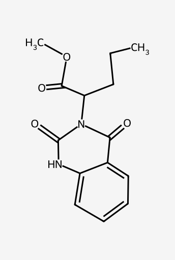 CCCC(C(=O)OC)n1c(=O)[nH]c2ccccc2c1=O